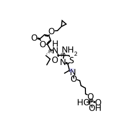 CCC[C@@H](NC(=O)[C@]1(N)CSC(/C(C)=N/OCCCCOP(=O)(O)O)=N1)c1cc(OCC2CC2)cc(=O)o1